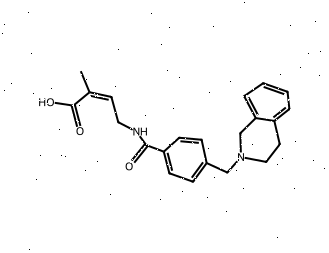 CC(=CCNC(=O)c1ccc(CN2CCc3ccccc3C2)cc1)C(=O)O